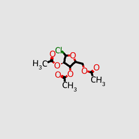 CC(=O)OCC1OC(Cl)[C@@H](OC(C)=O)C1OC(C)=O